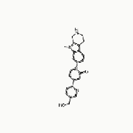 Cn1c2c(c3ccc(-n4ccc(-c5ccc(CO)cn5)cc4=O)cc31)CCNC2